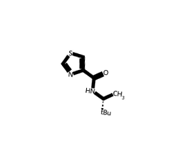 C[C@@H](NC(=O)c1cscn1)C(C)(C)C